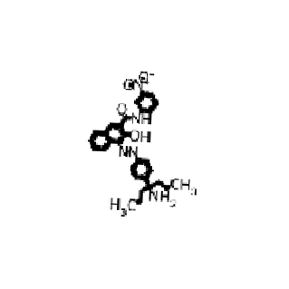 CCCC(N)(CCC)c1ccc(N=Nc2c(O)c(C(=O)Nc3cccc([N+](=O)[O-])c3)cc3ccccc23)cc1